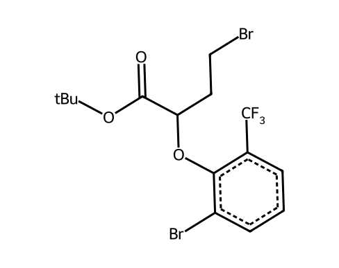 CC(C)(C)OC(=O)C(CCBr)Oc1c(Br)cccc1C(F)(F)F